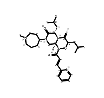 CC(C)C[C@H]1ON(C(=O)/C=C/c2ccccn2)[C@H]2CN(C3CCCN(C)CC3)C(=O)[C@H](CC(C)C)N2C1=O